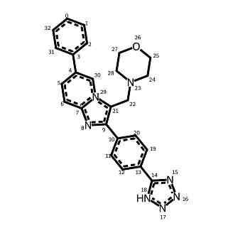 c1ccc(-c2ccc3nc(-c4ccc(-c5nnn[nH]5)cc4)c(CN4CCOCC4)n3c2)cc1